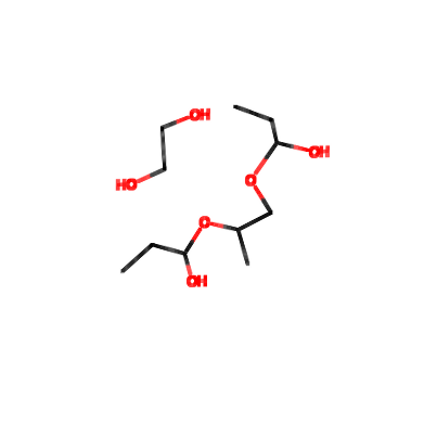 CCC(O)OCC(C)OC(O)CC.OCCO